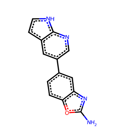 Nc1nc2cc(-c3cnc4[nH]ccc4c3)ccc2o1